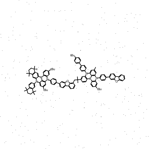 Cc1cc2c3c(c1)N(c1ccc(-c4ccc(C(C)(C)C)cc4)cc1)c1cc(C(C)(C)Cc4cccc5c4oc4cc(-c6ccc(N7c8cc(C(C)(C)C)ccc8B8c9cc%10c(cc9N(c9ccc%11c(c9)C(C)(C)CCC%11(C)C)c9cc(C(C)(C)C)cc7c98)C(C)(C)CCC%10(C)C)cc6)ccc45)ccc1B3c1ccc(C(C)(C)C)cc1N2c1ccc(-c2ccc3c(c2)oc2ccccc23)cc1